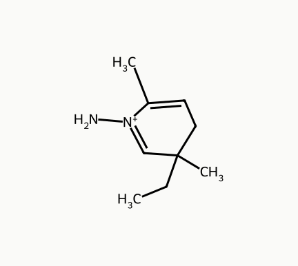 CCC1(C)C=[N+](N)C(C)=CC1